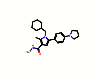 CCCCNC(=O)c1cc(-c2ccc(N3CCCC3)cc2)n(CC2CCCCC2)c1C